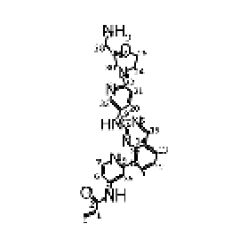 C=CC(=O)Nc1ccnc(-c2cccc3cnc(Nc4ccc(N5CCO[C@H](CN)C5)nc4)nc23)c1